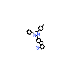 C/C(=N\C(=N/Cc1ccccc1)c1ccc2c(c1)Cc1cccc(N(C)C)c1-2)C1=CCC(C)C=C1